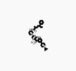 C=C/C(=C\C=C(/C)C(=O)N[C@@H]1CCCN(c2cnc(C(N)=O)c(Nc3ccc(C4CCN(C5CC5)CC4)cc3)n2)C1)c1ccccc1